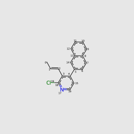 CC=Cc1c(-c2ccc3ccccc3c2)ccnc1Cl